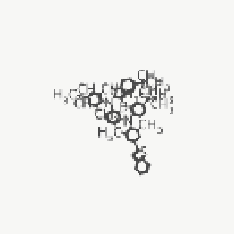 Cc1cc(-c2cc3ccccc3s2)cc(C)c1N1c2ccc(C(C)(C)C)cc2B2c3c1cccc3N(c1c(C)cc(C(C)(C)C)cc1C)c1sc3ccc(C(C)(C)C)cc3c12